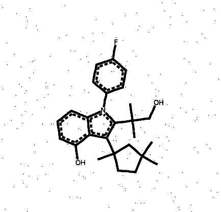 CC1(C)CCC(C)(c2c(C(C)(C)CO)n(-c3ccc(F)cc3)c3cccc(O)c23)C1